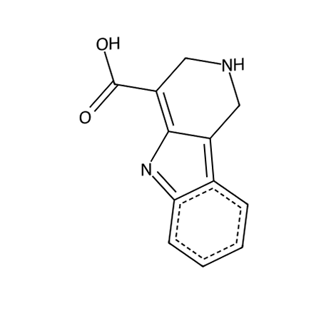 O=C(O)C1=C2N=c3ccccc3=C2CNC1